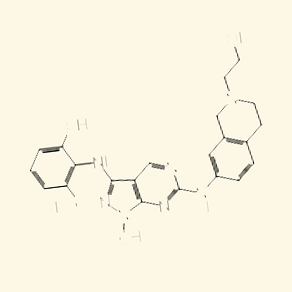 Cc1cccc(C)c1Nc1nn(C)c2nc(Nc3ccc4c(c3)CN(CCO)CC4)ncc12